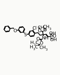 COC(OC)C(C=CP(=O)(O)O)(CCc1ccc(Sc2cccc(OCc3ccccc3)c2)cc1Cl)NC(=O)OC(C)(C)C